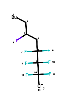 CCC(C)CC(I)CC(F)(F)C(F)(F)C(F)(F)C(F)(F)F